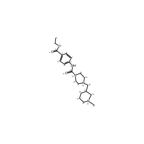 CCOC(=O)c1ccc(NC(=O)N2CCN(CC3CCCN(C)C3)CC2)cc1